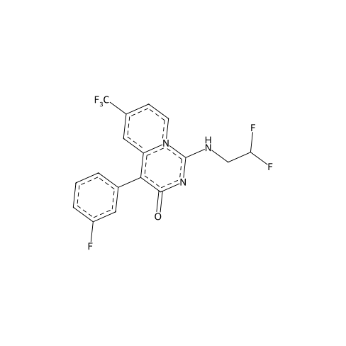 O=c1nc(NCC(F)F)n2ccc(C(F)(F)F)cc2c1-c1cccc(F)c1